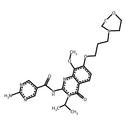 COc1c(OCCCN2CCOCC2)ccc2c(=O)n(C(C)C)c(NC(=O)c3cnc(N)nc3)nc12